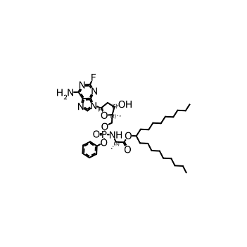 CCCCCCCCCC(CCCCCCCCC)OC(=O)[C@H](C)NP(=O)(OC[C@@]1(C)O[C@@H](n2cnc3c(N)nc(F)nc32)C[C@@H]1O)Oc1ccccc1